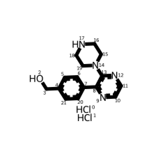 Cl.Cl.OCc1ccc(-c2nccnc2N2CCNCC2)cc1